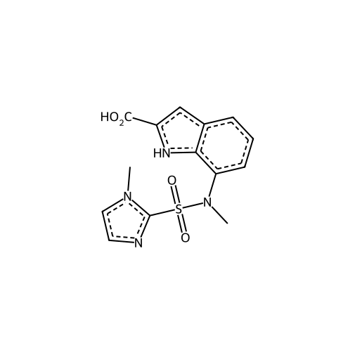 CN(c1cccc2cc(C(=O)O)[nH]c12)S(=O)(=O)c1nccn1C